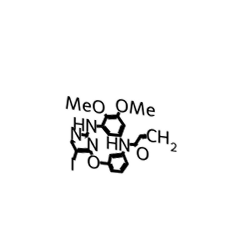 C=CC(=O)Nc1cccc(Oc2nc(Nc3cccc(OC)c3OC)ncc2I)c1